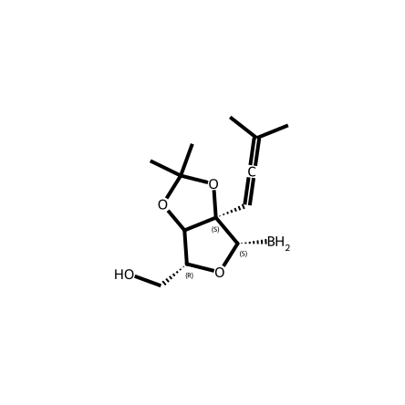 B[C@@H]1O[C@H](CO)C2OC(C)(C)O[C@]21C=C=C(C)C